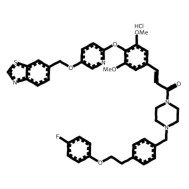 COc1cc(C=CC(=O)N2CCN(Cc3ccc(CCOc4ccc(F)cc4)cc3)CC2)cc(OC)c1Oc1ccc(OCc2ccc3ncsc3c2)cn1.Cl